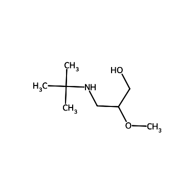 COC(CO)CNC(C)(C)C